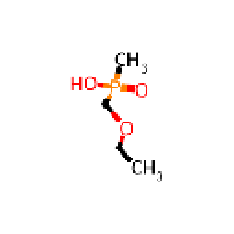 CCOCP(C)(=O)O